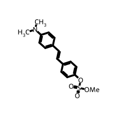 COS(=O)(=O)Oc1ccc(C=Cc2ccc(N(C)C)cc2)cc1